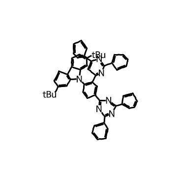 CC(C)(C)c1ccc2c3ccc(C(C)(C)C)cc3n(-c3ccc(-c4nc(-c5ccccc5)nc(-c5ccccc5)n4)cc3-c3cc(-c4ccccc4)nc(-c4ccccc4)n3)c2c1